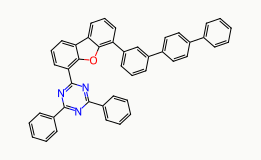 c1ccc(-c2ccc(-c3cccc(-c4cccc5c4oc4c(-c6nc(-c7ccccc7)nc(-c7ccccc7)n6)cccc45)c3)cc2)cc1